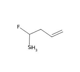 C=CCC(F)[SiH3]